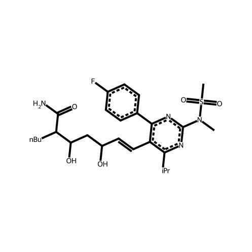 CCCCC(C(N)=O)C(O)CC(O)C=Cc1c(-c2ccc(F)cc2)nc(N(C)S(C)(=O)=O)nc1C(C)C